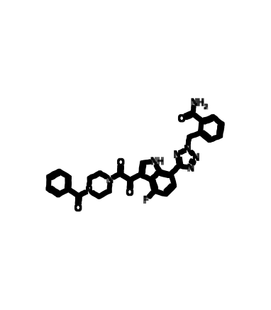 NC(=O)c1ccccc1Cn1nnc(-c2ccc(F)c3c(C(=O)C(=O)N4CCN(C(=O)c5ccccc5)CC4)c[nH]c23)n1